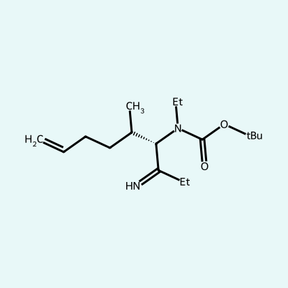 C=CCCC(C)[C@@H](C(=N)CC)N(CC)C(=O)OC(C)(C)C